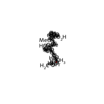 C=CCOC(=O)N[C@H](C(=O)N[C@@H](C)C(=O)Nc1ccc(COC(=O)Nc2cc(OCc3cccc(COc4cc5c(cc4OC)C(=O)N4CCC[C@H]4[C@H](OC4CCCCO4)N5C(=O)O)c3)c(OC)cc2C(=O)N2CCC[C@H]2CO)cc1)C(C)C